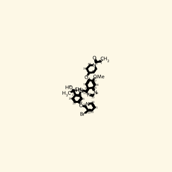 C=CC(=O)N1CCC(Oc2cc3c(Nc4cc(Oc5ncccc5Br)ccc4C(C)(C)O)ncnc3cc2OC)CC1